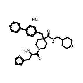 Cl.NC(Cc1cccs1)C(=O)N1CCC(Cc2ccc(-c3ccccc3)cc2)(C(=O)NCC2CCOCC2)CC1